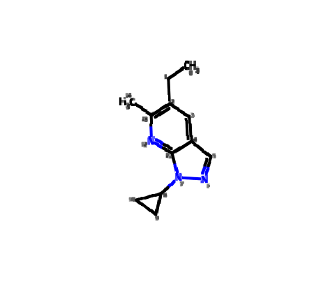 CCc1cc2cnn(C3CC3)c2nc1C